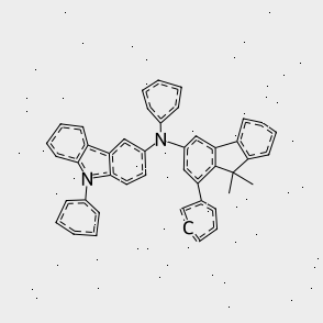 CC1(C)c2ccccc2-c2cc(N(c3ccccc3)c3ccc4c(c3)c3ccccc3n4-c3ccccc3)cc(-c3ccccc3)c21